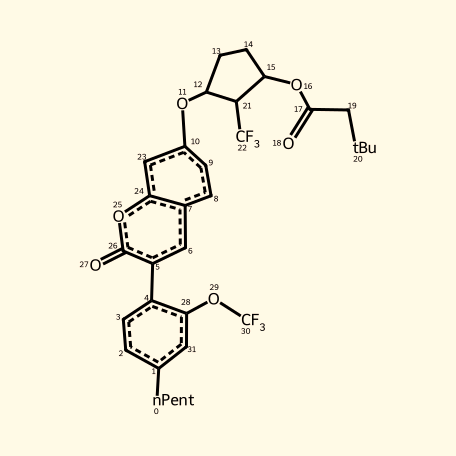 CCCCCc1ccc(-c2cc3ccc(OC4CCC(OC(=O)CC(C)(C)C)C4C(F)(F)F)cc3oc2=O)c(OC(F)(F)F)c1